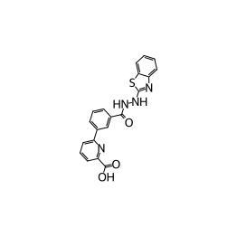 O=C(NNc1nc2ccccc2s1)c1cccc(-c2cccc(C(=O)O)n2)c1